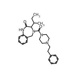 CCC(C)C1C(=O)Nc2ccccc2CN1C(=O)N1CCN(CCc2ccccc2)CC1